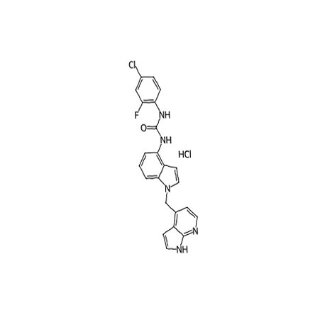 Cl.O=C(Nc1ccc(Cl)cc1F)Nc1cccc2c1ccn2Cc1ccnc2[nH]ccc12